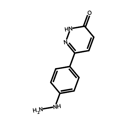 NNc1ccc(-c2ccc(=O)[nH]n2)cc1